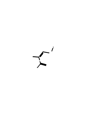 COC=C(C)C(C)=O